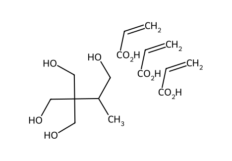 C=CC(=O)O.C=CC(=O)O.C=CC(=O)O.CC(CO)C(CO)(CO)CO